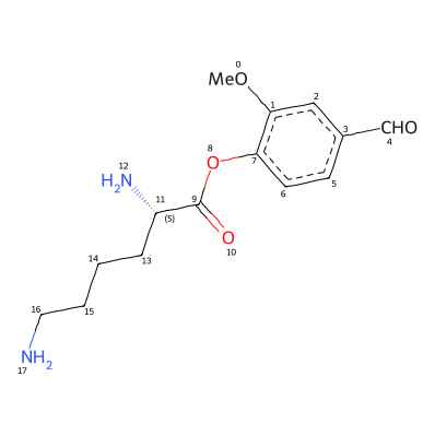 COc1cc(C=O)ccc1OC(=O)[C@@H](N)CCCCN